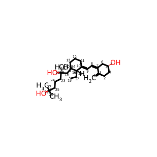 C=C1CC[C@@H](O)C/C1=C/C=C1\CCC[C@@]2(C)[C@H]1CC[C@@H]2[C@](C)(O)CCCC(C)(C)O